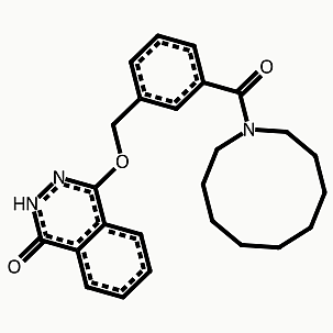 O=C(c1cccc(COc2n[nH]c(=O)c3ccccc23)c1)N1CCCCCCCCC1